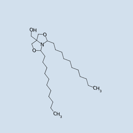 CCCCCCCCCCCC1OCC2(CO)COC(CCCCCCCCCCC)N12